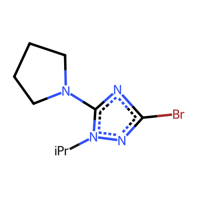 CC(C)n1nc(Br)nc1N1CCCC1